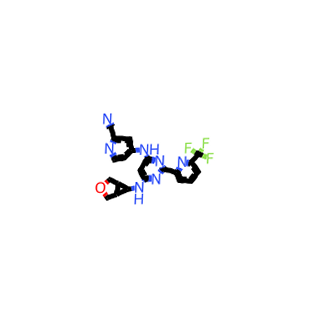 N#Cc1cc(Nc2cc(NC3C4COCC43)nc(-c3cccc(C(F)(F)F)n3)n2)ccn1